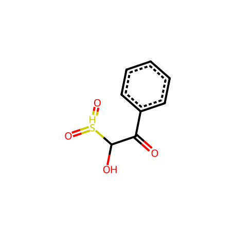 O=C(c1ccccc1)C(O)[SH](=O)=O